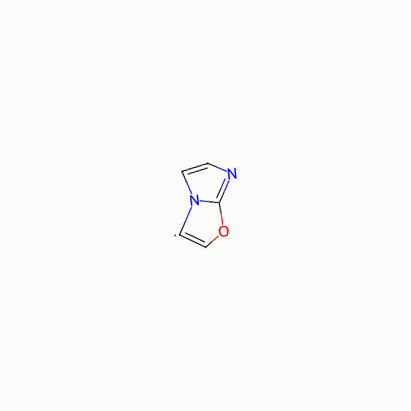 [c]1coc2nccn12